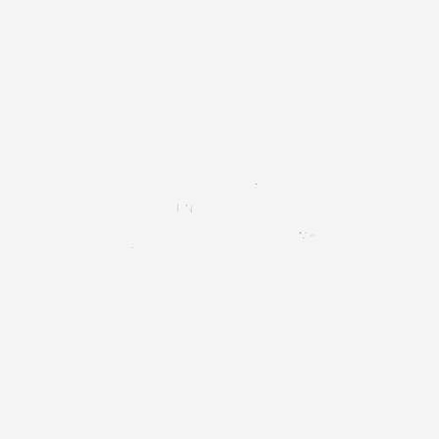 CSOc1c(C(C)=O)c(=O)[nH]c2c(C(C)C)cccc12